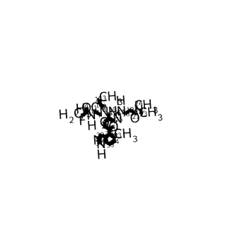 C=C(F)C(=O)NCCN(C/C(C)=C\C)c1nc(NCCC(=O)N(C)C)nc2c1OCC(c1c(C)ccc3[nH]ncc13)O2